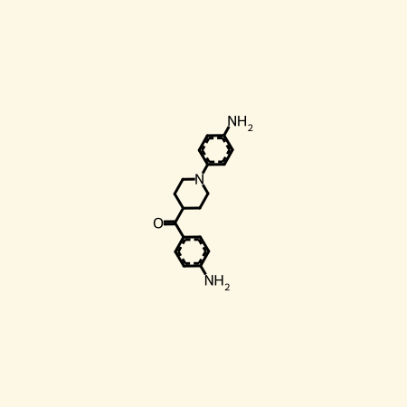 Nc1ccc(C(=O)C2CCN(c3ccc(N)cc3)CC2)cc1